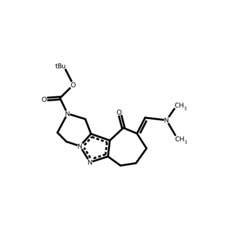 CN(C)/C=C1\CCCc2nn3c(c2C1=O)CN(C(=O)OC(C)(C)C)CC3